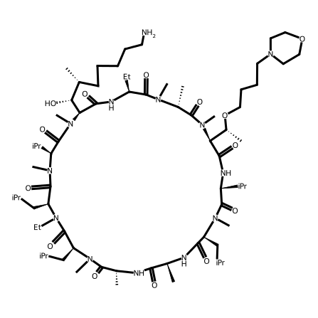 CC[C@@H]1NC(=O)[C@H]([C@H](O)[C@H](C)CCCCCN)N(C)C(=O)[C@H](C(C)C)N(C)C(=O)[C@H](CC(C)C)N(CC)C(=O)[C@H](CC(C)C)N(C)C(=O)[C@@H](C)NC(=O)[C@H](C)NC(=O)[C@H](CC(C)C)N(C)C(=O)[C@H](C(C)C)NC(=O)[C@H]([C@@H](C)OCCCCN2CCOCC2)N(C)C(=O)[C@@H](C)N(C)C1=O